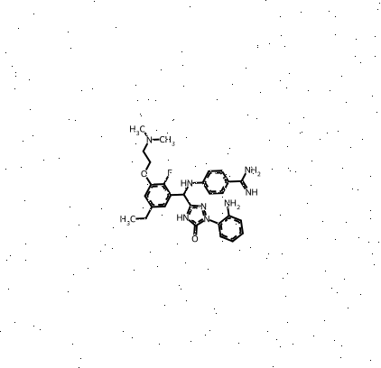 CCc1cc(OCCN(C)C)c(F)c(C(Nc2ccc(C(=N)N)cc2)c2nn(-c3ccccc3N)c(=O)[nH]2)c1